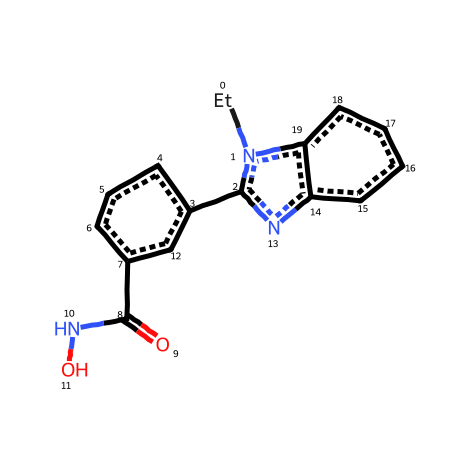 CCn1c(-c2cccc(C(=O)NO)c2)nc2ccccc21